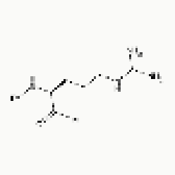 CCN[C@@H](CCCNC(N)N)C(=O)C(C)C